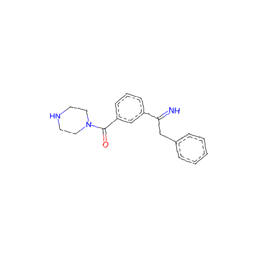 N=C(Cc1ccccc1)c1cccc(C(=O)N2CCNCC2)c1